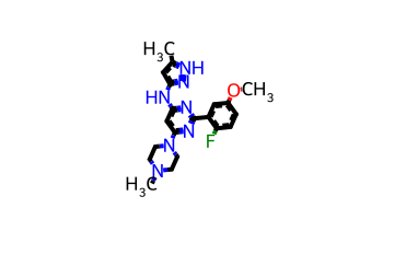 COc1ccc(F)c(-c2nc(Nc3cc(C)[nH]n3)cc(N3CCN(C)CC3)n2)c1